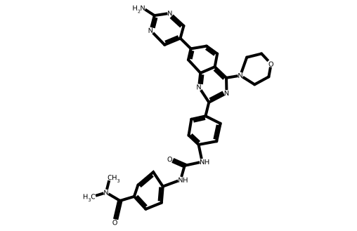 CN(C)C(=O)c1ccc(NC(=O)Nc2ccc(-c3nc(N4CCOCC4)c4ccc(-c5cnc(N)nc5)cc4n3)cc2)cc1